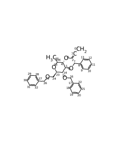 C=C=CO[C@@H]1[C@@H](OCc2ccccc2)[C@H](OCc2ccccc2)[C@@H](COCc2ccccc2)O[C@H]1C